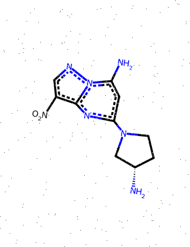 Nc1cc(N2CC[C@H](N)C2)nc2c([N+](=O)[O-])cnn12